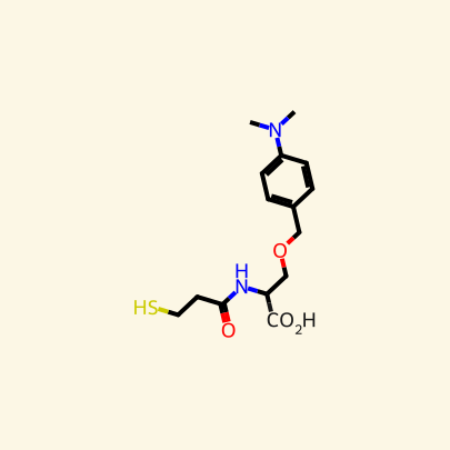 CN(C)c1ccc(COCC(NC(=O)CCS)C(=O)O)cc1